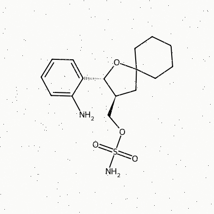 Nc1ccccc1[C@@H]1OC2(CCCCC2)C[C@H]1COS(N)(=O)=O